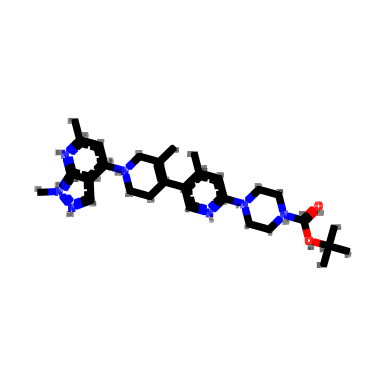 CC1=C(c2cnc(N3CCN(C(=O)OC(C)(C)C)CC3)cc2C)CCN(c2cc(C)nc3c2cnn3C)C1